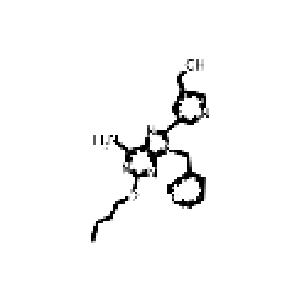 CCCCOc1nc(N)c2nc(-c3cncc(CO)c3)n(Cc3ccccc3)c2n1